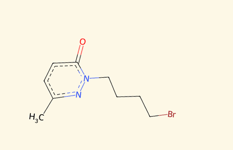 Cc1ccc(=O)n(CCCCBr)n1